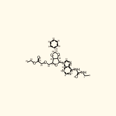 CCNC(=O)Nc1ncnc2c1ncn2C1OC(COCC(=O)OCC)C2O[C@H](c3ccccc3)OC21